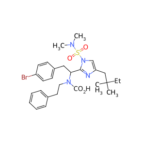 CCC(C)(C)Cc1cn(S(=O)(=O)N(C)C)c(C(Cc2ccc(Br)cc2)N(CCc2ccccc2)C(=O)O)n1